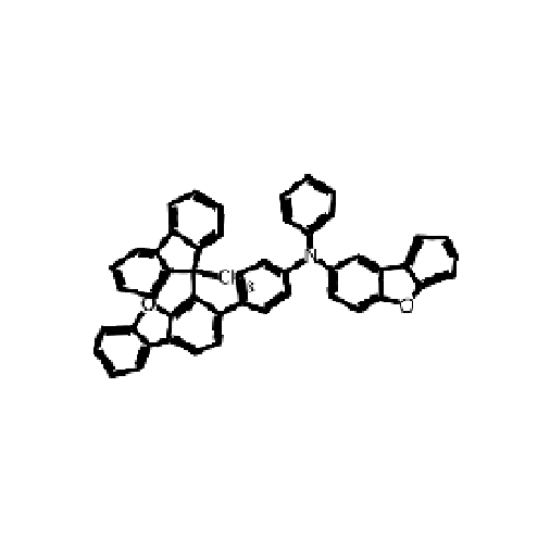 CC1(c2c(-c3ccc(N(c4ccccc4)c4ccc5oc6ccccc6c5c4)cc3)ccc3c2oc2ccccc23)c2ccccc2-c2ccccc21